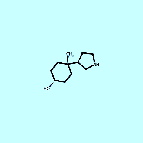 C[C@]1([C@H]2CCNC2)CC[C@@H](O)CC1